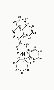 C1=CC(C2CCN(C3(c4ccccc4)CCCCCC3)CC2)c2cccc3cccc1c23